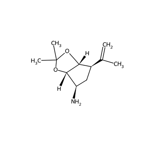 C=C(C)[C@H]1C[C@@H](N)[C@@H]2OC(C)(C)O[C@@H]21